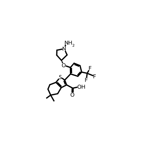 CC1(C)CCc2sc(-c3cc(C(F)(F)F)ccc3O[C@H]3CCN(N)C3)c(C(=O)O)c2C1